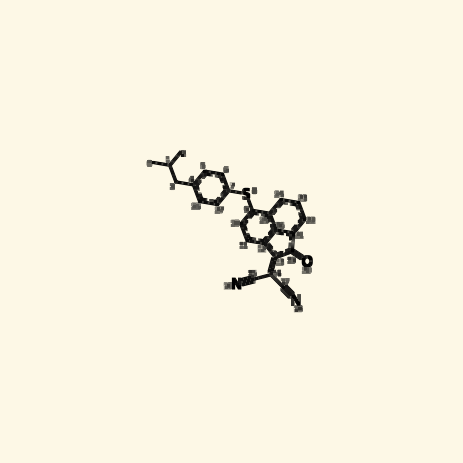 CC(C)Cc1ccc(Sc2ccc3c(=C(C#N)C#N)c(=O)c4cccc2c43)cc1